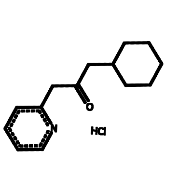 Cl.O=C(Cc1ccccn1)CC1CCCCC1